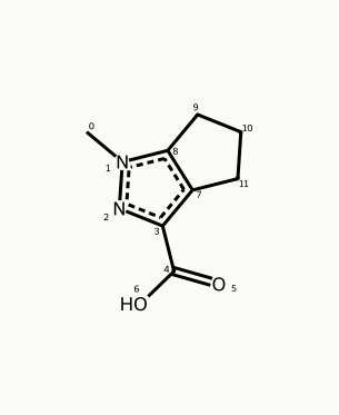 Cn1nc(C(=O)O)c2c1CCC2